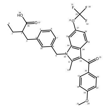 CCC(Cc1cccc(Cn2c(C)c(C(=O)c3ccc(OC)cc3)c3ccc(OC(F)(F)F)cc32)c1)C(=O)O